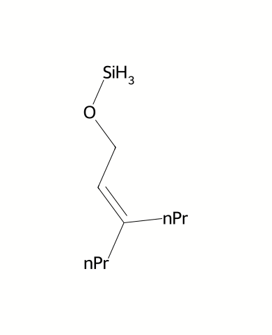 CCCC(=CCO[SiH3])CCC